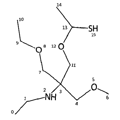 CCNC(COC)(COCC)COC(C)S